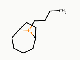 CCCCP1C2CCCCC1CC2